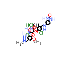 CNCc1cc(Cl)c(OC(C(N)=O)C(Oc2c(Cl)cc(CNc3ccc4[nH]c(=O)[nH]c4c3)cc2OC)C(N)=O)c(OC)c1.Cl